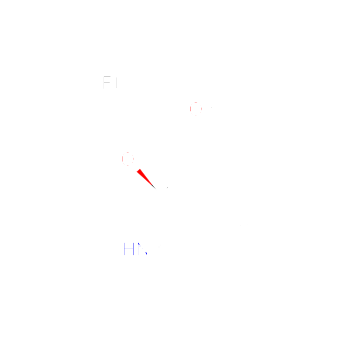 CCC(=O)O[C@H]1CCCCN1